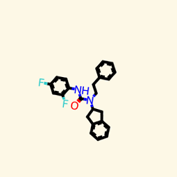 O=C(Nc1ccc(F)cc1F)N(CCc1ccccc1)C1Cc2ccccc2C1